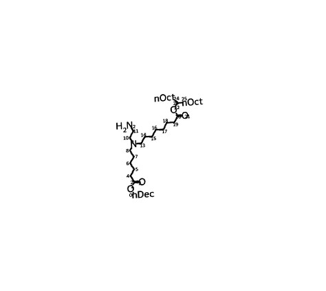 CCCCCCCCCCOC(=O)CCCCCN(CCN)CCCCCCCC(=O)OC(CCCCCCCC)CCCCCCCC